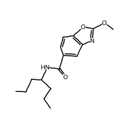 CCCC(CCC)NC(=O)c1ccc2oc(OC)nc2c1